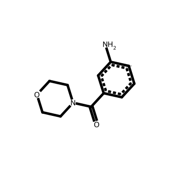 Nc1[c]ccc(C(=O)N2CCOCC2)c1